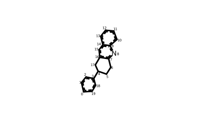 c1ccc(C2CCc3nc4ccccc4cc3C2)cc1